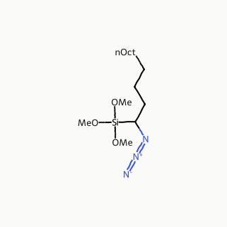 CCCCCCCCCCCC(N=[N+]=[N-])[Si](OC)(OC)OC